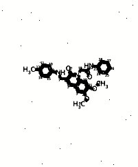 COc1cc2cc(CNc3ccc(C)cc3)c(=O)n(CC(=O)Nc3ccccc3)c2cc1OC